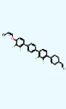 C=CC1CC=C(c2ccc(-c3ccc(-c4ccc(O/C=C\CC)c(F)c4F)cc3)c(F)c2F)CC1